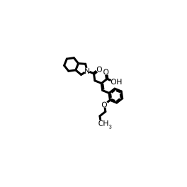 CCCOc1ccccc1C=C(CC(=O)N1CC2CCCCC2C1)C(=O)O